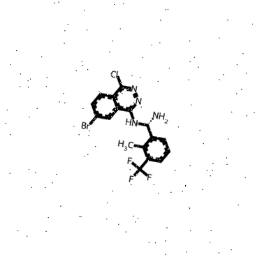 Cc1c([C@@H](N)Nc2nnc(Cl)c3ccc(Br)cc23)cccc1C(F)(F)F